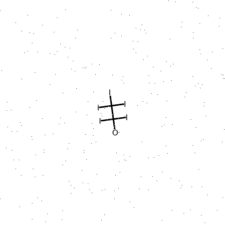 [O]C(I)(I)C(I)(I)I